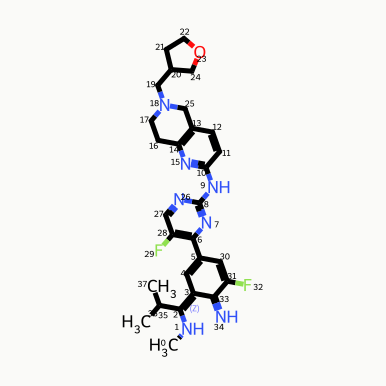 CN/C(=C1/C=C(c2nc(Nc3ccc4c(n3)CCN(CC3CCOC3)C4)ncc2F)C=C(F)C1=N)C(C)C